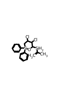 C=C(C)[SiH2]C1O[Si](c2ccccc2)(c2ccccc2)CC(Cl)C1Cl